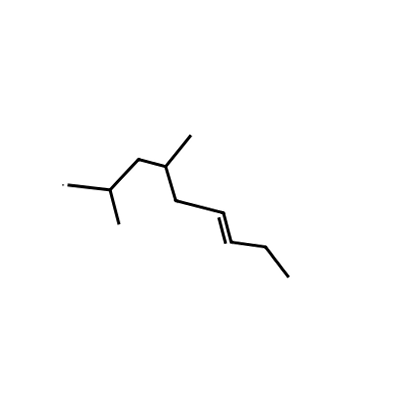 [CH2]C(C)CC(C)CC=CCC